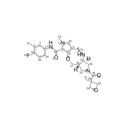 Cc1cc(NC(=O)c2c3c(cn2C)SN[C@H]2CN(C(=O)C4(C)COC4)C[C@@H]2CO3)ccc1F